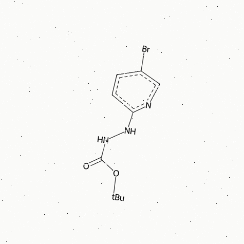 CC(C)(C)OC(=O)NNc1ccc(Br)cn1